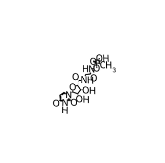 CP(=O)(O)ONC(=O)CNC(=O)[C@H]1O[C@@H](n2ccc(=O)[nH]c2=O)[C@@H](O)[C@H]1O